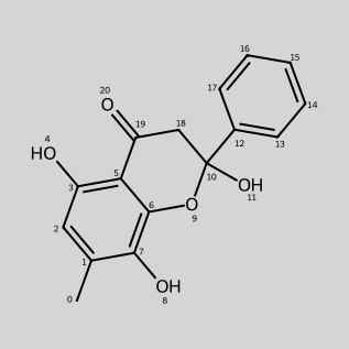 Cc1cc(O)c2c(c1O)OC(O)(c1ccccc1)CC2=O